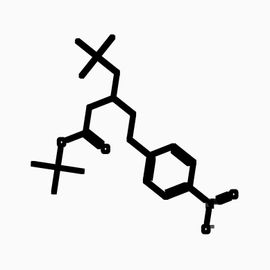 CC(C)(C)C[C](CCc1ccc([N+](=O)[O-])cc1)CC(=O)OC(C)(C)C